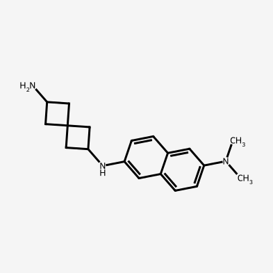 CN(C)c1ccc2cc(NC3CC4(CC(N)C4)C3)ccc2c1